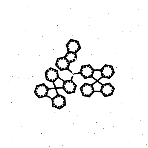 c1ccc2c(c1)-c1ccccc1C21c2ccccc2-c2ccc(N(c3cccc4c3-c3ccccc3C43c4ccccc4-c4ccccc43)c3cccc4c3sc3ccccc34)cc21